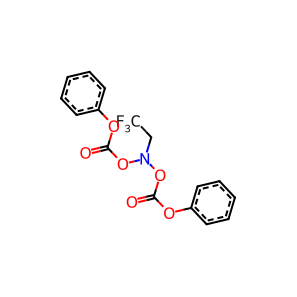 O=C(Oc1ccccc1)ON(CC(F)(F)F)OC(=O)Oc1ccccc1